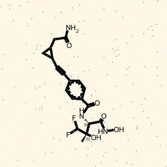 C[C@@](O)(C(F)F)[C@H](NC(=O)c1ccc(C#CC2CC2CC(N)=O)cc1)C(=O)NO